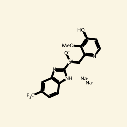 COc1c(O)ccnc1C[S+]([O-])c1nc2cc(C(F)(F)F)ccc2[nH]1.[Na].[Na]